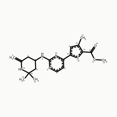 C=C1CC(Nc2nccc(-c3cc(C)c(C(=O)OC)s3)n2)CC(C)(C)N1